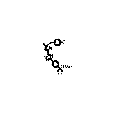 COC1(c2ccc(-c3noc(-c4cc(C)n(Cc5ccc(Cl)cc5)n4)n3)cc2)COC1